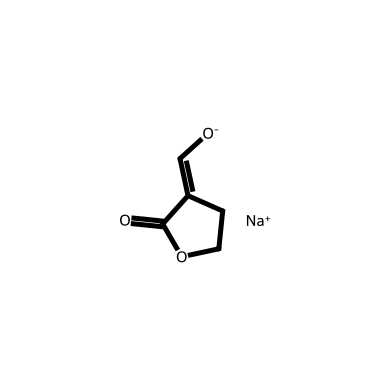 O=C1OCCC1=C[O-].[Na+]